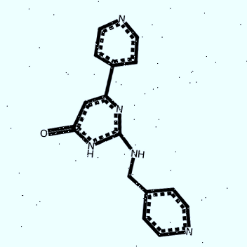 O=c1cc(-c2ccncc2)nc(NCc2ccncc2)[nH]1